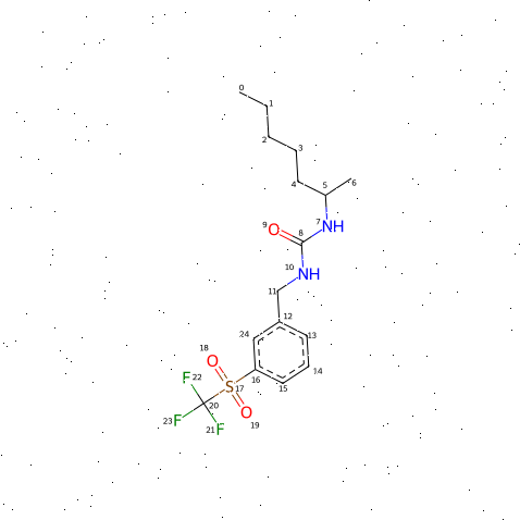 CCCCCC(C)NC(=O)NCc1cccc(S(=O)(=O)C(F)(F)F)c1